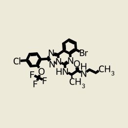 CCCNC(=O)[C@@H](C)Nc1nc2c(Br)cccc2c2nc(-c3ccc(Cl)cc3OC(F)(F)F)nn12